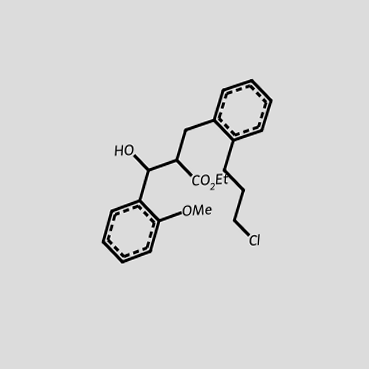 CCOC(=O)C(Cc1ccccc1CCCCl)C(O)c1ccccc1OC